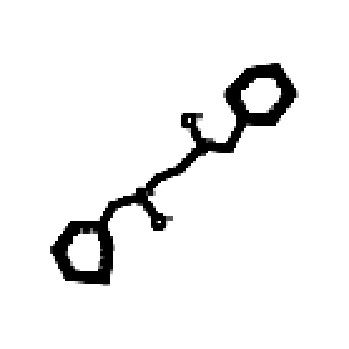 [O-][S+](CC[S+]([O-])Cc1ccccc1)Cc1ccccc1